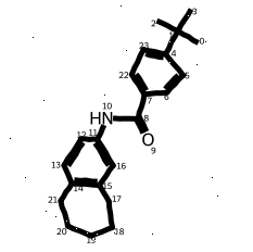 CC(C)(C)c1ccc(C(=O)Nc2ccc3c(c2)CCCCC3)cc1